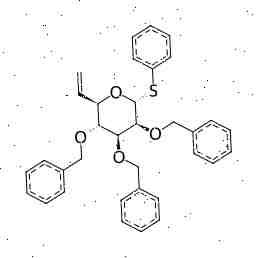 C=C[C@H]1O[C@H](Sc2ccccc2)[C@@H](OCc2ccccc2)[C@@H](OCc2ccccc2)[C@@H]1OCc1ccccc1